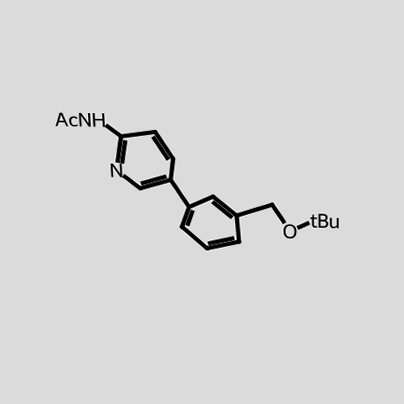 CC(=O)Nc1ccc(-c2cccc(COC(C)(C)C)c2)cn1